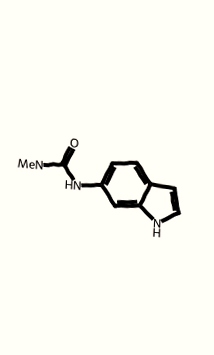 CNC(=O)Nc1ccc2cc[nH]c2c1